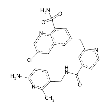 Cc1nc(N)ccc1CNC(=O)c1ccnc(Cc2cc(S(N)(=O)=O)c3ncc(Cl)cc3c2)c1